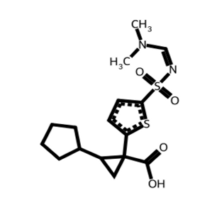 CN(C)/C=N\S(=O)(=O)c1ccc(C2(C(=O)O)CC2C2CCCC2)s1